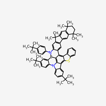 CC(C)(C)c1ccc(N2B3c4cc(C(C)(C)C)ccc4-n4c5ccc(C(C)(C)C)cc5c5c6sc7ccccc7c6c(c3c54)-c3cc4c(cc32)C(C)(C)c2cc3c(cc2-4)C(C)(C)CCC3(C)C)cc1